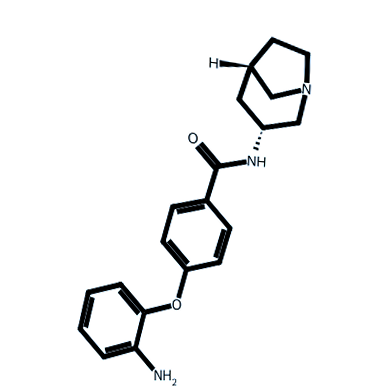 Nc1ccccc1Oc1ccc(C(=O)N[C@@H]2C[C@@H]3CCN(C3)C2)cc1